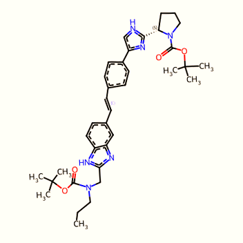 CCCN(Cc1nc2cc(/C=C/c3ccc(-c4c[nH]c([C@@H]5CCCN5C(=O)OC(C)(C)C)n4)cc3)ccc2[nH]1)C(=O)OC(C)(C)C